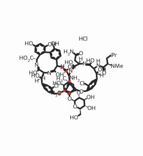 CN[C@H](CC(C)C)C(=O)NC1C(O)=N[C@@H](CC(N)=O)C(O)=N[C@H]2C(O)=N[C@H]3C(O)=N[C@H](C(O)=N[C@H](C(=O)O)c4cc(O)cc(O)c4-c4cc3ccc4O)[C@H](O)c3ccc(c(Cl)c3)Oc3cc2cc(c3O[C@@H]2O[C@H](CO)[C@@H](O)[C@H](O)[C@H]2O[C@H]2C[C@](C)(N)[C@H](O)[C@H](C)O2)Oc2ccc(cc2Cl)[C@H]1O.Cl